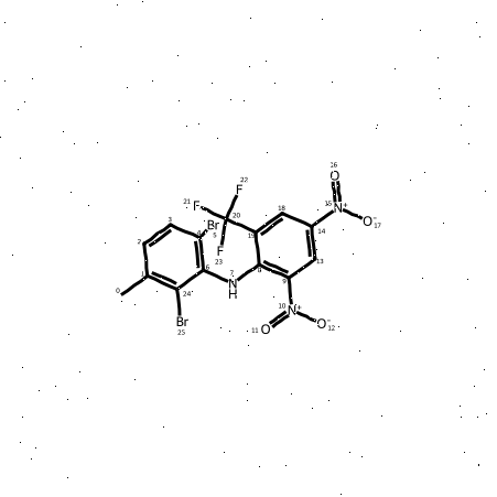 Cc1ccc(Br)c(Nc2c([N+](=O)[O-])cc([N+](=O)[O-])cc2C(F)(F)F)c1Br